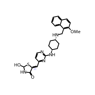 COc1ccc2ccccc2c1CN[C@H]1CC[C@H](Nc2nccc(/C=C3\SC(O)NC3=O)n2)CC1